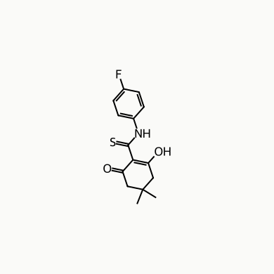 CC1(C)CC(=O)C(C(=S)Nc2ccc(F)cc2)=C(O)C1